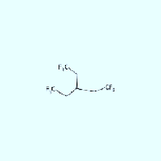 FC(F)(F)C[C](CC(F)(F)F)CC(F)(F)F